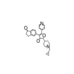 O=C1CCc2cc(C3=C(c4ccncc4)OC(C4CCN(CC5CC5)CC4)C3=O)ccc21